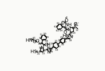 COC(=O)N[C@H](C(=O)N1C[C@@H]([S+](C)[O-])C[C@H]1c1ncc(-c2ccc(-c3ccc(-c4cnc([C@@H]5C[C@H](CS)CN5C(=O)[C@@H](COOC=N)c5ccccc5)[nH]4)cc3)cc2)[nH]1)c1ccccc1